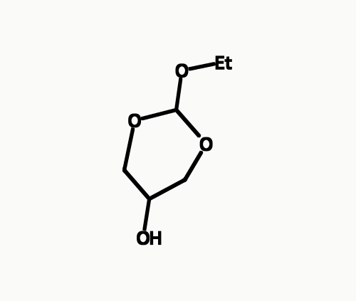 CCOC1OCC(O)CO1